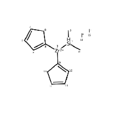 C[SiH](C)[Zr+2]([C]1=CC=CC1)[C]1=CC=CC1.[I-].[I-]